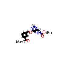 COC(=O)c1cccc(COc2cc(CNC(=O)OC(C)(C)C)ncn2)c1